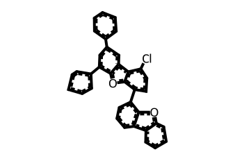 Clc1ccc(-c2cccc3c2oc2ccccc23)c2oc3c(-c4ccccc4)cc(-c4ccccc4)cc3c12